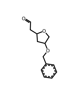 O=CCC1CC(OCc2ccccc2)CO1